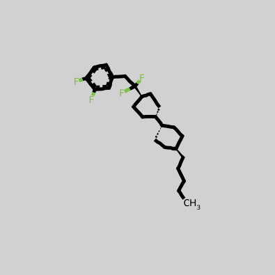 CCCCC[C@H]1CC[C@H]([C@H]2CC[C@H](C(F)(F)Cc3ccc(F)c(F)c3)CC2)CC1